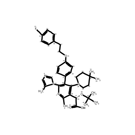 Cc1nc(-n2cncc2C)c(-c2ccc(OCCc3ccc(F)cc3)cc2)c(N2CCC(C)(C)CC2)c1[C@H](OC(C)(C)C)C(=O)O